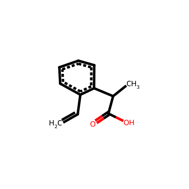 C=Cc1ccccc1C(C)C(=O)O